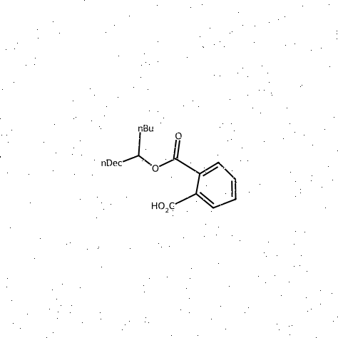 CCCCCCCCCCC(CCCC)OC(=O)c1ccccc1C(=O)O